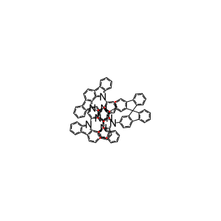 c1ccc(-n2c3ccccc3c3ccc4c5ccccc5n(-c5nc(-c6ccc7c(c6)C6(c8ccccc8-7)c7ccccc7-c7ccc(-n8c9ccccc9c9ccccc98)cc76)nc(-n6c7ccccc7c7ccc8c9ccccc9n(-c9ccccc9)c8c76)n5)c4c32)cc1